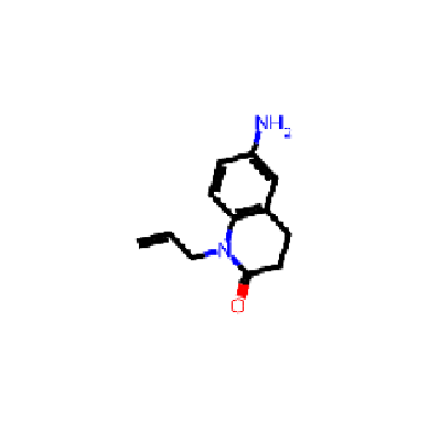 C=CCN1C(=O)CCc2cc(N)ccc21